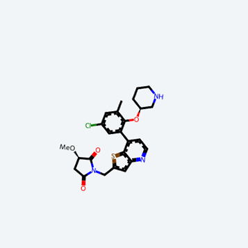 CO[C@@H]1CC(=O)N(Cc2cc3nccc(-c4cc(Cl)cc(C)c4O[C@H]4CCCNC4)c3s2)C1=O